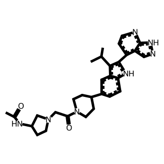 CC(=O)NC1CCN(CC(=O)N2CCC(c3ccc4[nH]c(-c5ccnc6[nH]ncc56)c(C(C)C)c4c3)CC2)C1